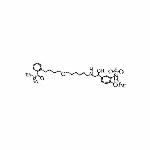 CCN(CC)C(=O)c1ccccc1CCCCOCCCCCCNCC(O)c1ccc(OC(C)=O)c(NS(C)(=O)=O)c1